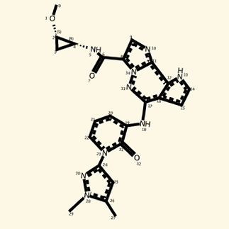 CO[C@H]1C[C@H]1NC(=O)c1cnc2c3[nH]ccc3c(Nc3cccn(-c4cc(C)n(C)n4)c3=O)nn12